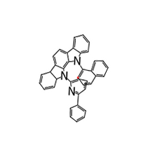 C1=CC2c3ccc4c5ccccc5n(-c5cccc6ccccc56)c4c3N(c3cccc(-c4ccccc4)n3)C2C=C1